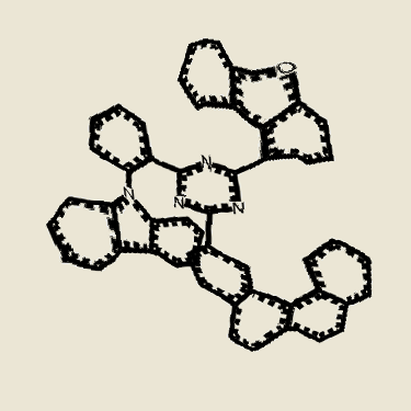 c1ccc(-n2c3ccccc3c3ccccc32)c(-c2nc(-c3ccc4ccc5ccc6ccccc6c5c4c3)nc(-c3cccc4oc5ccccc5c34)n2)c1